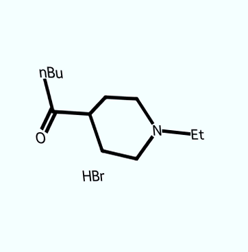 Br.CCCCC(=O)C1CCN(CC)CC1